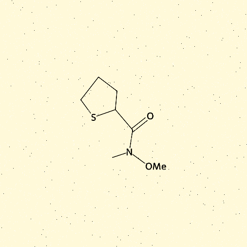 CON(C)C(=O)C1CCCS1